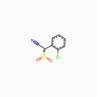 N#CC(c1ccccc1Cl)=S(=O)=O